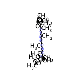 CC(=O)O[C@H]1CC(C)(C)\C(=C/C(C)=C/C=C/C(C)=C/C=C/C=C(C)/C=C/C=C(\C)C(=O)C[C@]23C[C@@]2(C)C[C@H](C)CC3(C)C)[C@](C)(O)C1